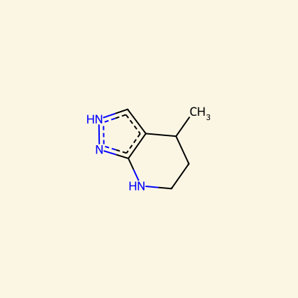 CC1CCNc2n[nH]cc21